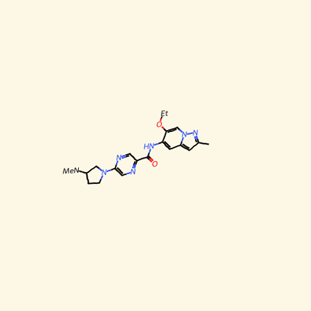 CCOc1cn2nc(C)cc2cc1NC(=O)c1cnc(N2CCC(NC)C2)cn1